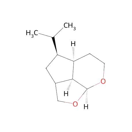 CC(C)[C@@H]1CC2CO[C@@H]3OCC[C@H]1[C@H]23